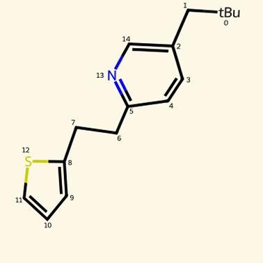 CC(C)(C)Cc1ccc(CCc2cccs2)nc1